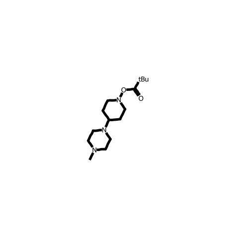 CN1CCN(C2CCN(OC(=O)C(C)(C)C)CC2)CC1